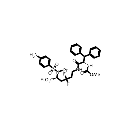 CCOC(=O)[C@H](CC(F)(F)CCNC(=O)[C@@H](NC(=O)OC)C(c1ccccc1)c1ccccc1)N(C(C)C)S(=O)(=O)c1ccc(N)cc1